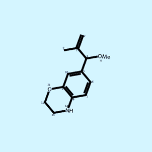 C=C(C)C(OC)c1ccc2c(c1)OCCN2